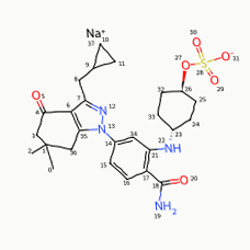 CC1(C)CC(=O)c2c(CC3CC3)nn(-c3ccc(C(N)=O)c(N[C@H]4CC[C@H](OS(=O)(=O)[O-])CC4)c3)c2C1.[Na+]